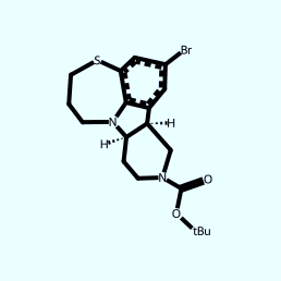 CC(C)(C)OC(=O)N1CC[C@@H]2[C@H](C1)c1cc(Br)cc3c1N2CCCS3